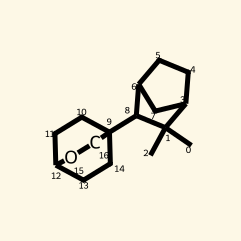 CC1(C)C2CCC(C2)C1C12CCC(CC1)OC2